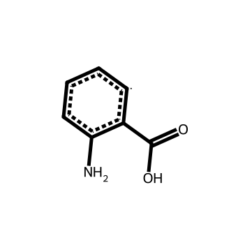 Nc1ccc[c]c1C(=O)O